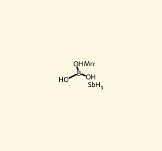 OB(O)O.[Mn].[SbH3]